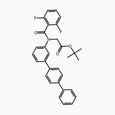 CC(C)(C)OC(=O)CN(C(=O)c1c(F)cccc1F)c1cccc(-c2ccc(-c3ccccc3)cc2)c1